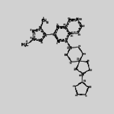 Cc1nn(C)cc1-c1nc(N2CCC3(CC2)CCN(C2CCCC2)C3)c2ccncc2n1